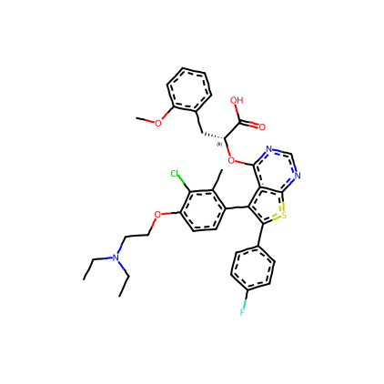 CCN(CC)CCOc1ccc(-c2c(-c3ccc(F)cc3)sc3ncnc(O[C@H](Cc4ccccc4OC)C(=O)O)c23)c(C)c1Cl